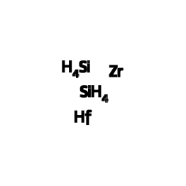 [Hf].[SiH4].[SiH4].[Zr]